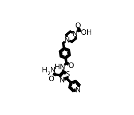 NC(=O)c1nc(-c2ccncc2)sc1NC(=O)c1ccc(CN2CCN(C(=O)O)CC2)cc1